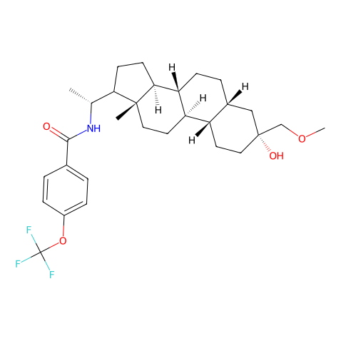 COC[C@@]1(O)CC[C@H]2[C@H](CC[C@@H]3[C@@H]2CC[C@]2(C)C([C@@H](C)NC(=O)c4ccc(OC(F)(F)F)cc4)CC[C@@H]32)C1